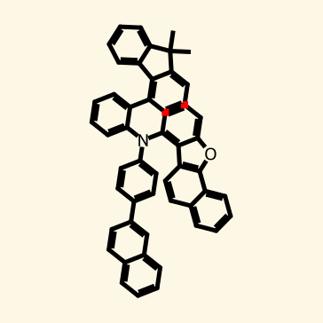 CC1(C)c2ccccc2-c2c(-c3ccccc3N(c3ccc(-c4ccc5ccccc5c4)cc3)c3cccc4oc5c6ccccc6ccc5c34)cccc21